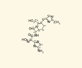 Cc1nsc(SC2=C(C(=O)O)N3C(=O)C(NC(=O)/C(=N\O)c4nsc(N)n4)C3CC2)n1